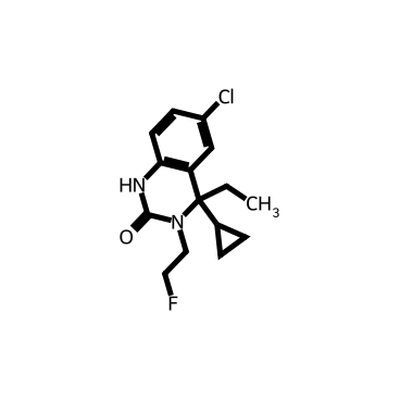 CCC1(C2CC2)c2cc(Cl)ccc2NC(=O)N1CCF